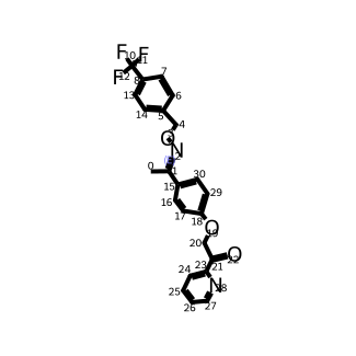 C/C(=N\OCc1ccc(C(F)(F)F)cc1)c1ccc(OCC(=O)c2ccccn2)cc1